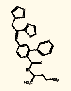 CSCC[C@H](NC(=O)c1ccc(/C=C(/Cn2ccnc2)c2nccs2)cc1-c1cccnc1)C(=O)O